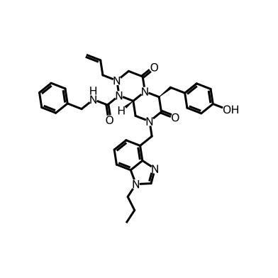 C=CCN1CC(=O)N2[C@@H](Cc3ccc(O)cc3)C(=O)N(Cc3cccc4c3ncn4CCC)C[C@@H]2N1C(=O)NCc1ccccc1